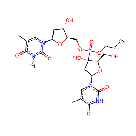 [2H]n1c(=O)c(C)cn([C@H]2C[C@H](O)[C@@H](COP(=O)(OCCC#N)[C@]3(O)C[C@H](n4cc(C)c(=O)[nH]c4=O)O[C@@H]3CO)O2)c1=O